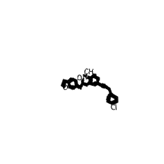 CN1C(=O)C(Cc2ccc3ccoc3c2)Cc2cc(C#CCc3ccc(Cl)cc3)ccc21